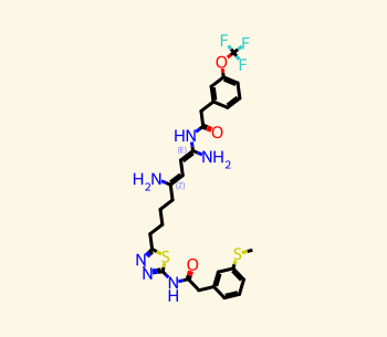 CSc1cccc(CC(=O)Nc2nnc(CCCC/C(N)=C/C=C(\N)NC(=O)Cc3cccc(OC(F)(F)F)c3)s2)c1